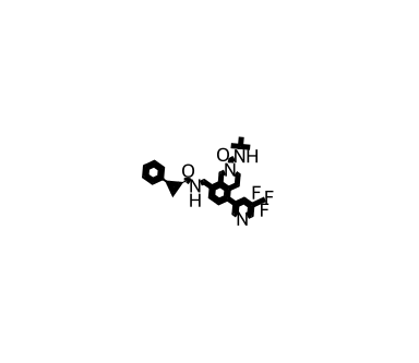 CC(C)(C)NC(=O)N1CCc2c(-c3cncc(C(F)(F)F)c3)ccc(CNC(=O)[C@@H]3C[C@H]3c3ccccc3)c2C1